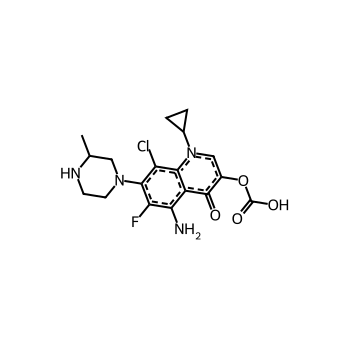 CC1CN(c2c(F)c(N)c3c(=O)c(OC(=O)O)cn(C4CC4)c3c2Cl)CCN1